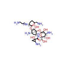 NCCCN[C@@H]1CC[C@@H](CN)O[C@@H]1OC1[C@@H](N)C[C@@H](NC(=O)C2(O)CC2N)[C@H](O[C@H]2O[C@H](CO)[C@@H](O)[C@H](N)[C@H]2O)[C@H]1O